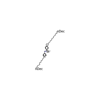 CCCCCCCCCCCCCCCCCCCCCCOc1ccc(/C=C/c2cc[n+](CCCCCCCCCCCCCCCCCCCC)cc2)cc1.[Br-]